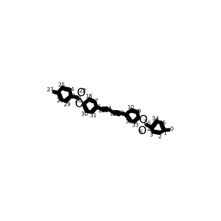 Cc1ccc(C(=O)Oc2ccc(C#CC#Cc3ccc(OC(=O)c4ccc(C)cc4)cc3)cc2)cc1